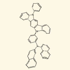 c1ccc(-n2c3ccccc3c3cc4c(cc32)c2ccccc2n4-c2cccc(N(c3ccc4ccccc4c3)c3cccc4ccccc34)c2)cc1